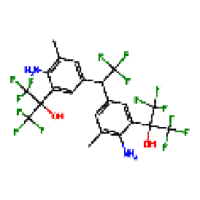 Cc1cc(C(c2cc(C)c(N)c(C(O)(C(F)(F)F)C(F)(F)F)c2)C(F)(F)F)cc(C(O)(C(F)(F)F)C(F)(F)F)c1N